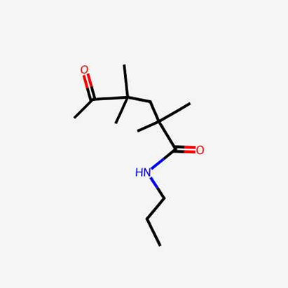 CCCNC(=O)C(C)(C)CC(C)(C)C(C)=O